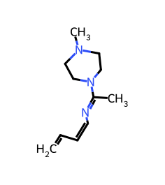 C=C/C=C\N=C(/C)N1CCN(C)CC1